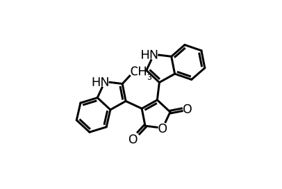 Cc1[nH]c2ccccc2c1C1=C(c2c[nH]c3ccccc23)C(=O)OC1=O